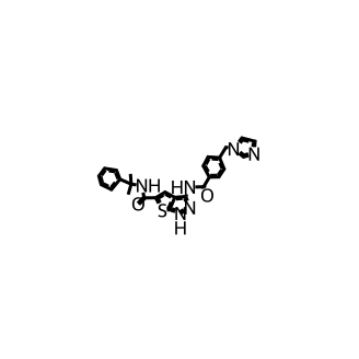 CC(C)(NC(=O)c1cc2c(NC(=O)c3ccc(Cn4ccnc4)cc3)n[nH]c2s1)c1ccccc1